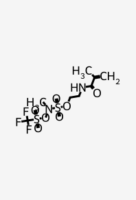 C=C(C)C(=O)NCCOS(=O)(=O)N(C)OS(=O)(=O)C(F)(F)F